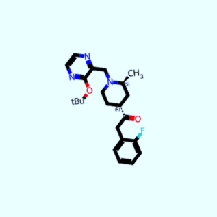 C[C@H]1C[C@H](C(=O)Cc2ccccc2F)CCN1Cc1nccnc1OC(C)(C)C